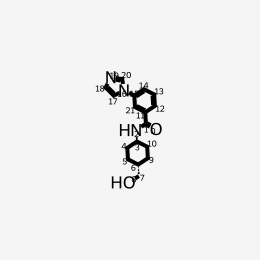 O=C(N[C@H]1CC[C@@H](CO)CC1)c1cccc(-n2ccnc2)c1